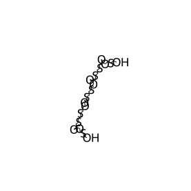 O=C(CSCCSCCOOCSCCSCOC(=O)CSCCSCC(=O)OCSCO)OCSCO